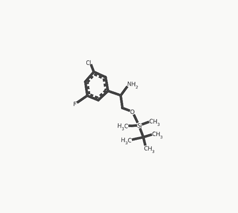 CC(C)(C)[Si](C)(C)OCC(N)c1cc(F)cc(Cl)c1